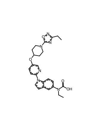 CCc1noc(N2CCC(Oc3ccc(-n4ccc5cc(N(CC)C(=O)O)ccc54)nc3)CC2)n1